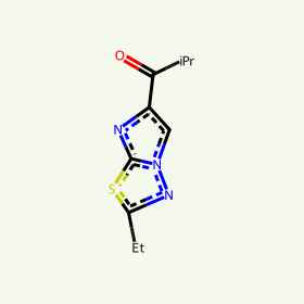 CCc1nn2cc(C(=O)C(C)C)nc2s1